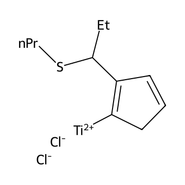 CCCSC(CC)C1=[C]([Ti+2])CC=C1.[Cl-].[Cl-]